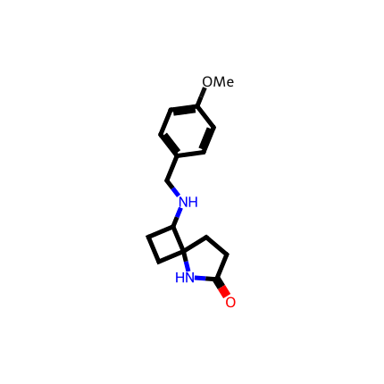 COc1ccc(CNC2CCC23CCC(=O)N3)cc1